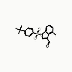 CC(C)(C)c1ccc(S(=O)(=O)n2cc(C=O)c3c(I)cccc32)cc1